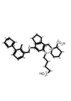 Cc1c(COc2cc(OCCCCC(=O)O)c(CN3CCCCC3C(=O)O)c3c2CCC3)cccc1-c1ccccc1